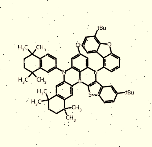 Cc1cc2c3c(c1)N(c1cccc4oc5c(C(C)(C)C)cccc5c14)c1c(sc4ccc(C(C)(C)C)cc14)B3c1cc3c(cc1N2c1ccc2c(c1)C(C)(C)CCC2(C)C)C(C)(C)CCC3(C)C